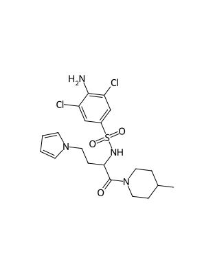 CC1CCN(C(=O)C(CCn2cccc2)NS(=O)(=O)c2cc(Cl)c(N)c(Cl)c2)CC1